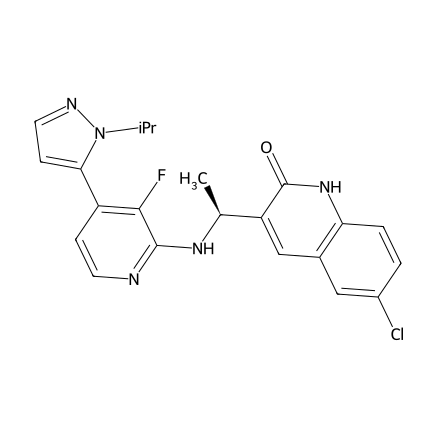 CC(C)n1nccc1-c1ccnc(N[C@@H](C)c2cc3cc(Cl)ccc3[nH]c2=O)c1F